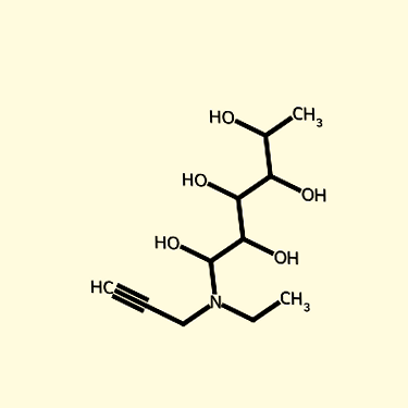 C#CCN(CC)C(O)C(O)C(O)C(O)C(C)O